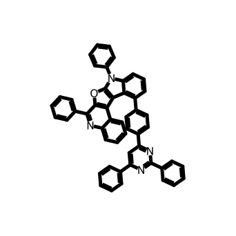 c1ccc(-c2cc(-c3ccc(-c4cccc5c4c4c6c(oc4n5-c4ccccc4)c(-c4ccccc4)nc4ccccc46)cc3)nc(-c3ccccc3)n2)cc1